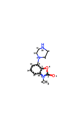 Cn1c(=O)oc2c(N3CCNCC3)cccc21